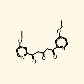 CCOc1ccnc(C(=O)CC(=O)CC(=O)c2cc(OCC)ccn2)c1